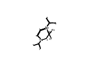 CC(C)N1CCN(C(C)C)C(F)(F)C1